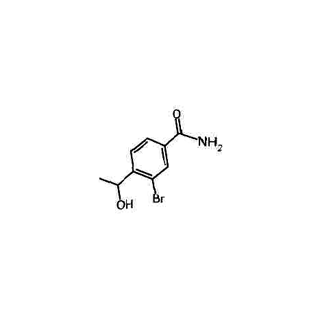 CC(O)c1ccc(C(N)=O)cc1Br